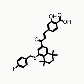 CC1(C)CCC(C)(C)c2c(SCc3ccc(F)cc3)cc(C(=O)/C=C/c3ccc(C(=O)O)c(O)c3)cc21